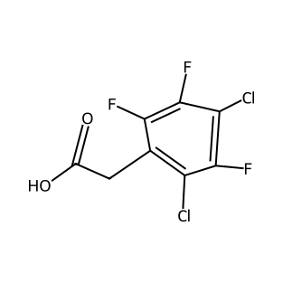 O=C(O)Cc1c(F)c(F)c(Cl)c(F)c1Cl